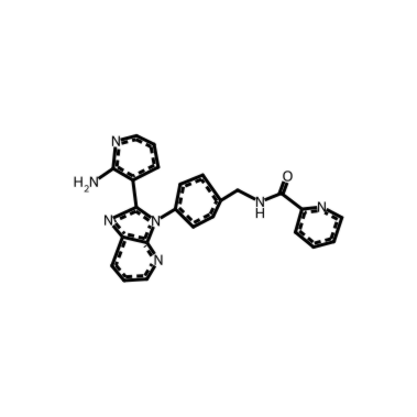 Nc1ncccc1-c1nc2cccnc2n1-c1ccc(CNC(=O)c2ccccn2)cc1